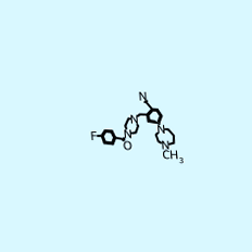 CN1CCCN(c2ccc(C#N)c(CN3CCN(C(=O)c4ccc(F)cc4)CC3)c2)CC1